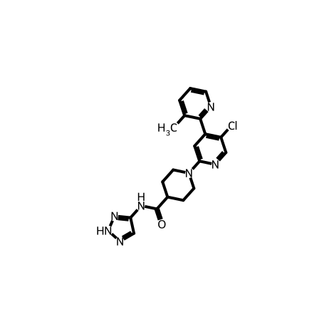 Cc1cccnc1-c1cc(N2CCC(C(=O)Nc3cn[nH]n3)CC2)ncc1Cl